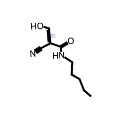 CCCCCNC(=O)/C(C#N)=C/O